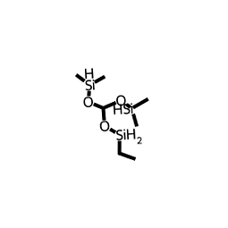 CC[SiH2]OC(O[SiH](C)C)O[SiH](C)C